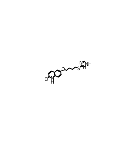 O=c1ccc2cc(OCCCCSc3nc[nH]n3)ccc2[nH]1